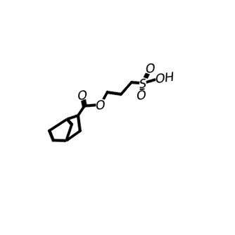 O=C(OCCCS(=O)(=O)O)C1CC2CCC1C2